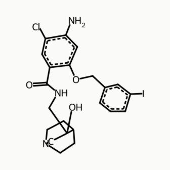 Nc1cc(OCc2cccc(I)c2)c(C(=O)NCC2(O)CN3CCC2CC3)cc1Cl